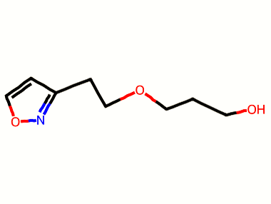 OCCCOCCc1ccon1